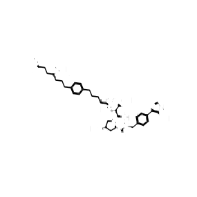 Cc1ncsc1-c1ccc(CNC(=O)[C@@H]2C[C@@H](O)CN2C(=O)[C@@H](NC(=O)CCCCc2ccc(CCC[C@@H](N)CCC(N)=O)cc2)C(C)(C)C)cc1